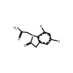 NC(=O)CN1C(=O)Cc2cc(Cl)cc(F)c21